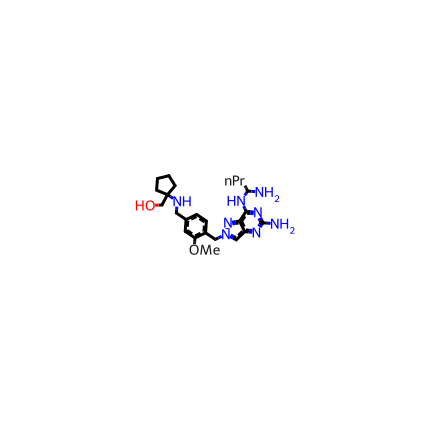 CCCC(N)Nc1nc(N)nc2cn(Cc3ccc(CNC4(CO)CCCC4)cc3OC)nc12